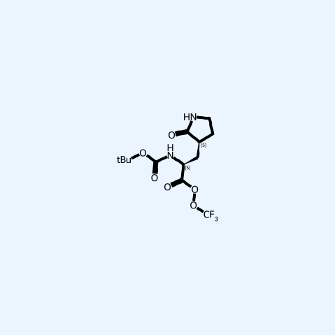 CC(C)(C)OC(=O)N[C@@H](C[C@@H]1CCNC1=O)C(=O)OOC(F)(F)F